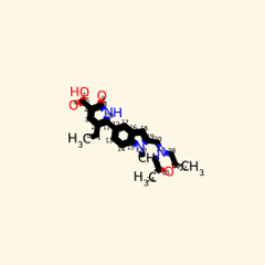 CCc1cc(C(=O)O)c(=O)[nH]c1-c1ccc2c(c1)cc(CN1CC(C)O[C@@H](C)C1)n2C